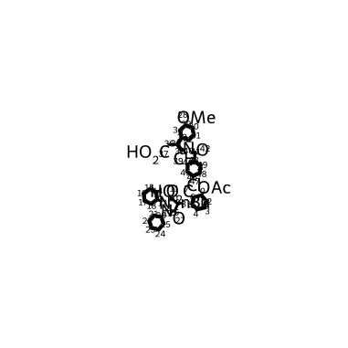 CC(=O)Oc1ccccc1C(=O)O.CCCCC1C(=O)N(c2ccccc2)N(c2ccccc2)C1=O.COc1ccc2c(c1)c(CC(=O)O)c(C)n2C(=O)c1ccc(Cl)cc1